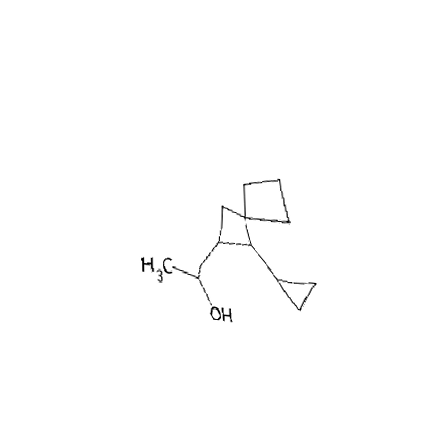 CC(O)C1CC2(CCC2)C1C1CC1